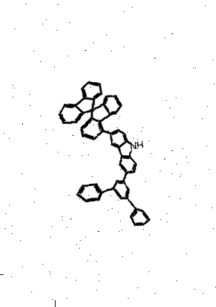 c1ccc(-c2cc(-c3ccccc3)cc(-c3ccc4[nH]c5ccc(-c6cccc7c6-c6ccccc6C76c7ccccc7-c7ccccc76)cc5c4c3)c2)cc1